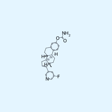 C[C@]12CC[C@@H]3c4ccc(OC(N)=O)cc4CC[C@H]3[C@@H]1CC=C2c1cncc(F)c1